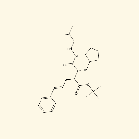 CC(C)CNNC(=O)[C@H](CC1CCCC1)[C@H](CC=Cc1ccccc1)C(=O)OC(C)(C)C